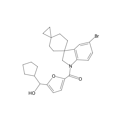 O=C(c1ccc(C(O)C2CCCC2)o1)N1CC2(CCC3(CC3)CC2)c2cc(Br)ccc21